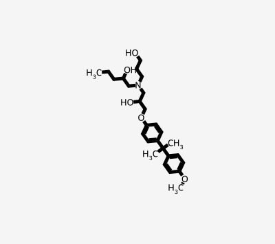 CCCC(O)CN(CCCO)CC(O)COc1ccc(C(C)(C)c2ccc(OC)cc2)cc1